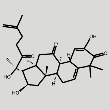 C=C(C)CCC(=O)[C@](C)(O)[C@H]1[C@H](O)C[C@@]2(C)[C@@H]3CC=C4[C@@H](C=C(O)C(=O)C4(C)C)[C@]3(C)C(=O)C[C@]12C